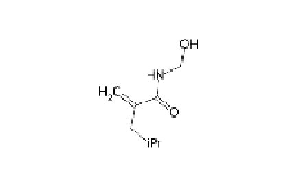 C=C(CC(C)C)C(=O)NCO